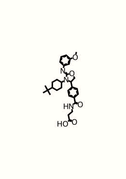 COc1cccc(N=C2OCC(c3ccc(C(=O)NCCC(=O)O)cc3)N2C2CCC(C(C)(C)C)CC2)c1